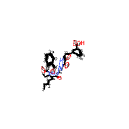 CCCCCC(C(=O)NCNC(=O)c1ccc(-c2cccc(C(=O)O)c2)o1)C(CC)N(C=O)OCc1ccccc1